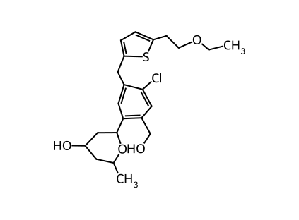 CCOCCc1ccc(Cc2cc(C3CC(O)CC(C)O3)c(CO)cc2Cl)s1